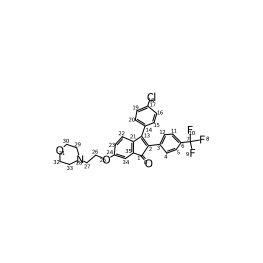 O=C1C(c2ccc(C(F)(F)F)cc2)=C(c2ccc(Cl)cc2)c2ccc(OCCN3CCOCC3)cc21